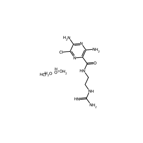 Cl.N=C(N)NCCNC(=O)c1nc(Cl)c(N)nc1N.O.O.O